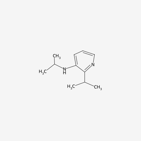 CC(C)Nc1cccnc1C(C)C